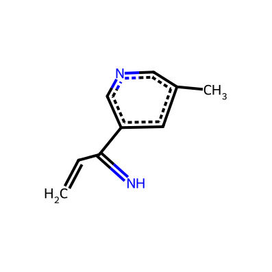 C=CC(=N)c1cncc(C)c1